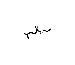 CCCOC(=O)[CH]CC(C)C